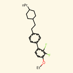 CCCC1CCC(CCc2ccc(-c3ccc(OCC)c(F)c3F)cc2)CC1